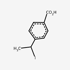 CC(I)c1ccc(C(=O)O)cc1